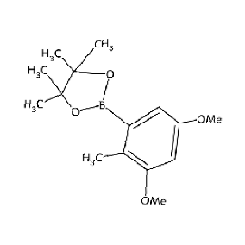 COc1cc(OC)c(C)c(B2OC(C)(C)C(C)(C)O2)c1